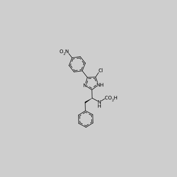 O=C(O)N[C@@H](Cc1ccccc1)c1nc(-c2ccc([N+](=O)[O-])cc2)c(Cl)[nH]1